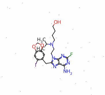 CC(C)N(CCCCO)CCn1c(Cc2cc3c(cc2I)OCO3)nc2c(N)nc(F)nc21